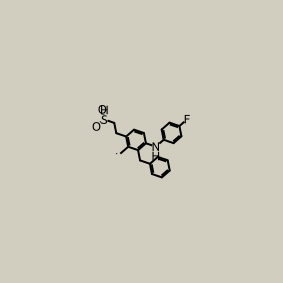 [CH2]c1c(CC[SH](=O)=O)ccc(Nc2ccc(F)cc2)c1Cc1ccccc1